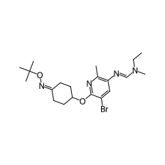 CCN(C)/C=N/c1cc(Br)c(OC2CCC(=NOC(C)(C)C)CC2)nc1C